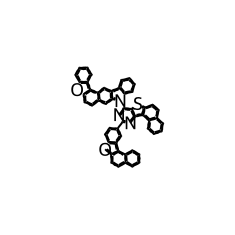 c1ccc2c(c1)ccc1oc3ccc(-c4nc(-n5c6ccccc6c6cc7c(ccc8oc9ccccc9c87)cc65)c5sc6ccc7ccccc7c6c5n4)cc3c12